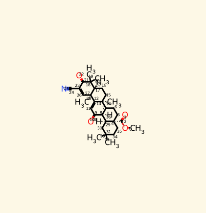 COC(=O)[C@@]12CCC3[C@H](C(=O)C=C4[C@@]3(C)CC[C@H]3C(C)(C)C(=O)C(C#N)=C[C@]43C)[C@@H]1CC(C)(C)CC2